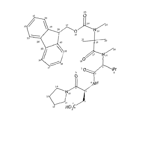 CC(C)C(C(=O)N[C@@H](CC(=O)O)C(=O)N1CCCC1)N(C)C(=O)C(C)(C)N(C)C(=O)OCC1c2ccccc2-c2ccccc21